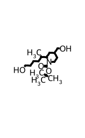 CC(CCCCO)C1CC(CO)CCN1C(=O)OC(C)(C)C